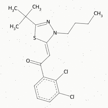 CCCCN1N=C(C(C)(C)C)SC1=CC(=O)c1cccc(Cl)c1Cl